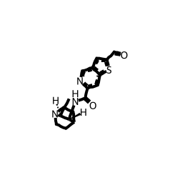 C[C@H]1[C@H](NC(=O)c2cc3sc(C=O)cc3cn2)C2CCN1CC2